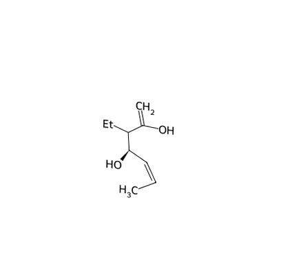 C=C(O)C(CC)[C@H](O)/C=C\C